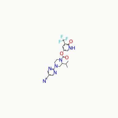 CC(C)C1CN(c2ncc(C#N)cn2)CCN1C(=O)Oc1c[nH]c(=O)c(C(F)(F)F)c1